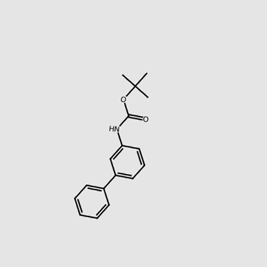 CC(C)(C)OC(=O)Nc1cccc(-c2ccccc2)c1